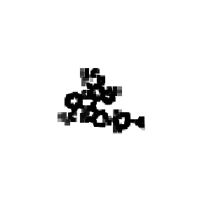 COc1c(F)cc(-c2c3c(nn2-c2c(C)cccc2C)CCN(c2ncc(C4CC4)cn2)C3)c2cc[nH]c12